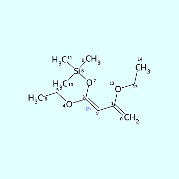 C=C(/C=C(/OCC)O[Si](C)(C)C)OCC